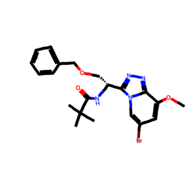 COc1cc(Br)cn2c([C@@H](COCc3ccccc3)NC(=O)C(C)(C)C)nnc12